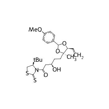 C=C[C@@H]1OC(c2ccc(OC)cc2)O[C@]1(C)CC[C@@H](O)CC(=O)N1C(=S)SC[C@H]1C(C)(C)C